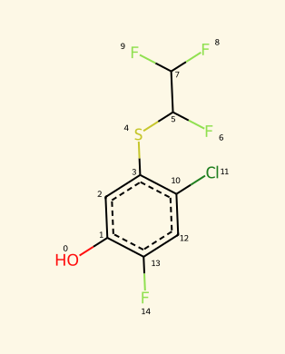 Oc1cc(SC(F)C(F)F)c(Cl)cc1F